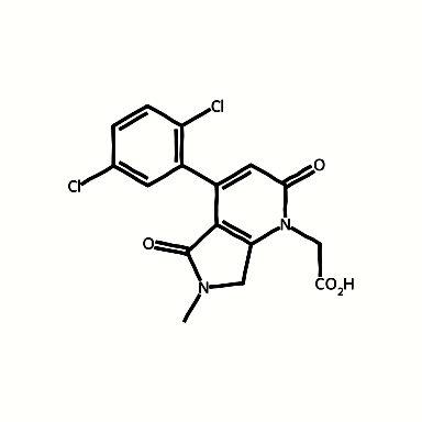 CN1Cc2c(c(-c3cc(Cl)ccc3Cl)cc(=O)n2CC(=O)O)C1=O